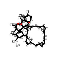 Clc1ccc(-c2c(-c3ccc(Cl)c(Cl)c3)c3c(-c4ccc(Cl)c(Cl)c4)c4nc(cc5ccc(cc6nc(cc2n3-c2ccc(Cl)c(Cl)c2)C=C6)[nH]5)C=C4)cc1Cl.[La]